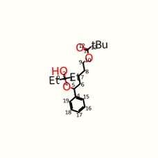 CCC(O)(CC)OC(CCCCOC(=O)C(C)(C)C)c1ccccc1